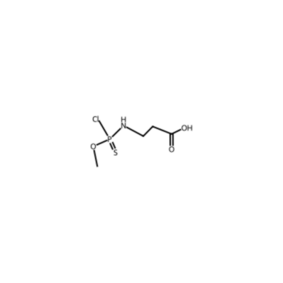 COP(=S)(Cl)NCCC(=O)O